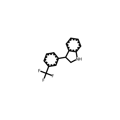 FC(F)(F)c1cccc(C2CNc3ccccc32)c1